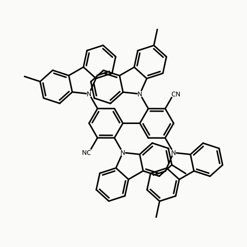 Cc1ccc2c(c1)c1ccccc1n2-c1cc(C#N)c(-n2c3ccccc3c3cc(C)ccc32)c(-c2cc(-n3c4ccccc4c4cc(C)ccc43)cc(C#N)c2-n2c3ccccc3c3cc(C)ccc32)c1